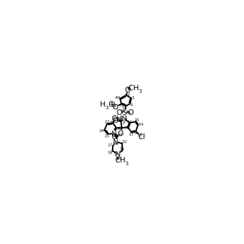 COc1ccc(S(=O)(=O)N2C(=O)C(OC(=O)N3CCN(C)CC3)(c3ncccc3C)c3cc(Cl)ccc32)c(OC)c1